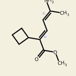 COC(=O)/C(=C/C=C(\C)N)C1CCC1